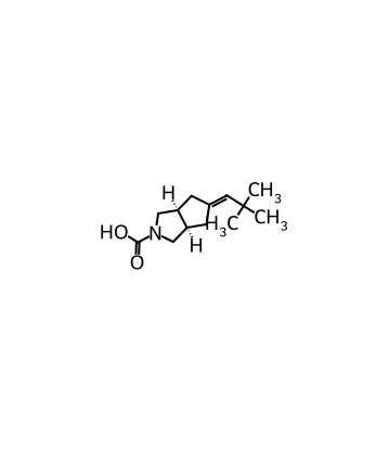 CC(C)(C)C=C1C[C@@H]2CN(C(=O)O)C[C@@H]2C1